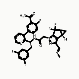 C/N=C/c1nn(CC(=O)N[C@@H](Cc2cc(F)cc(F)c2)c2ncccc2-c2ccc(F)c(C(N)=O)c2)c2c1[C@H]1CC1C2(F)F